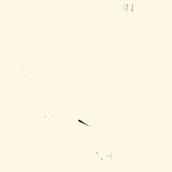 CNCCc1ccc(OC)c(OC)c1.CN[C@@H](C)c1ccccc1